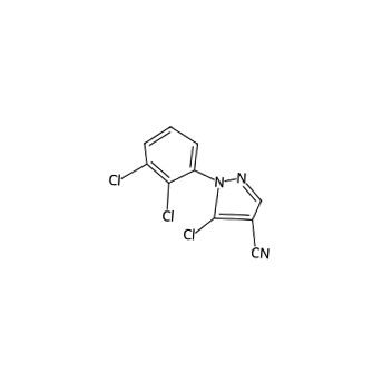 N#Cc1cnn(-c2cccc(Cl)c2Cl)c1Cl